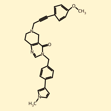 COc1ccc(C#CCN2CCc3ncn(Cc4ccc(-c5ccn(C)c5)cc4)c(=O)c3C2)cc1